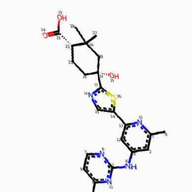 Cc1cc(Nc2nccc(C)n2)cc(-c2cnc([C@@]3(O)CC[C@H](C(=O)O)C(C)(C)C3)s2)n1